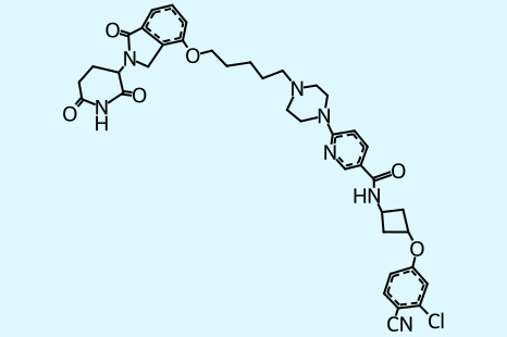 N#Cc1ccc(OC2CC(NC(=O)c3ccc(N4CCN(CCCCCOc5cccc6c5CN(C5CCC(=O)NC5=O)C6=O)CC4)nc3)C2)cc1Cl